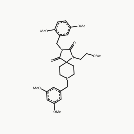 COCCN1C(=O)N(Cc2cc(OC)ccc2OC)C(=O)C12CCN(Cc1cc(OC)cc(OC)c1)CC2